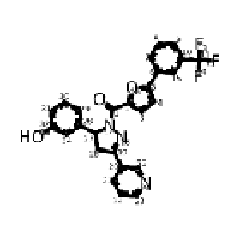 O=C(c1ccc(-c2cccc(C(F)(F)F)c2)o1)N1N=C(c2cccnc2)CC1c1cccc(O)c1